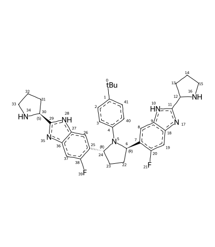 CC(C)(C)c1ccc(N2[C@@H](c3cc4[nH]c(C5CCCN5)nc4cc3F)CC[C@@H]2c2cc3[nH]c([C@@H]4CCCN4)nc3cc2F)cc1